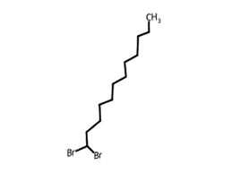 CCCCCCCCCCCC(Br)Br